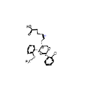 COc1ccccc1[C@H]1O[C@@H](c2ccccc2Cl)OC[C@H]1C/C=C\CCC(=O)O